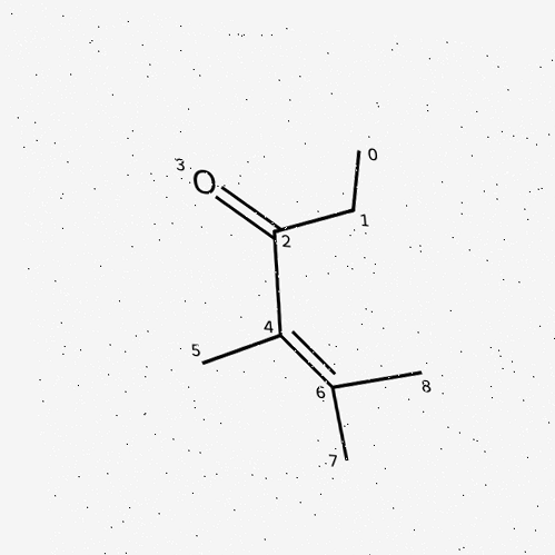 CCC(=O)C(C)=C(C)C